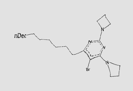 CCCCCCCCCCCCCCCCc1nc(N2CCC2)nc(N2CCC2)c1Br